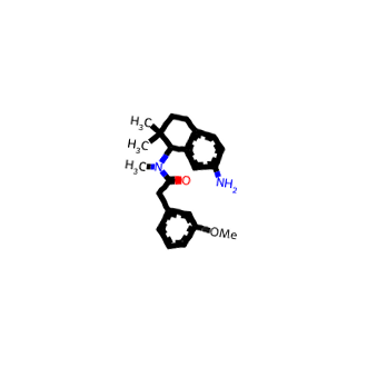 COc1cccc(CC(=O)N(C)C2c3cc(N)ccc3CCC2(C)C)c1